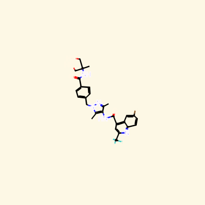 Cc1nn(Cc2ccc(C(=O)NC(C)(CO)CO)cc2)c(C)c1NC(=O)c1cc(C(F)(F)F)nc2ccc(Br)cc12